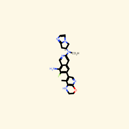 Cc1c(-c2cc3cc(N(C(=O)O)[C@H]4Cc5nccn5C4)ncc3c(N)c2F)cnc2c1NCCO2